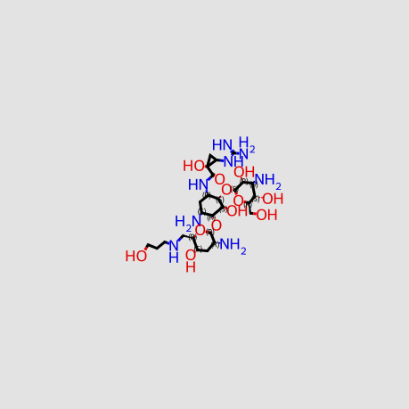 N=C(N)NC1CC1(O)C(=O)N[C@@H]1C[C@H](N)[C@@H](O[C@H]2O[C@H](CNCCCO)[C@@H](O)C[C@H]2N)[C@H](O)[C@H]1O[C@H]1O[C@H](CO)[C@@H](O)[C@H](N)[C@H]1O